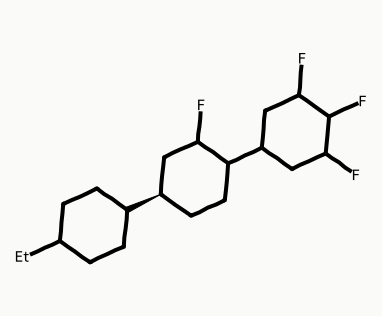 CCC1CCC([C@@H]2CCC(C3CC(F)C(F)C(F)C3)C(F)C2)CC1